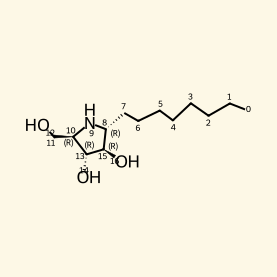 CCCCCCCC[C@H]1N[C@H](CO)[C@@H](O)[C@@H]1O